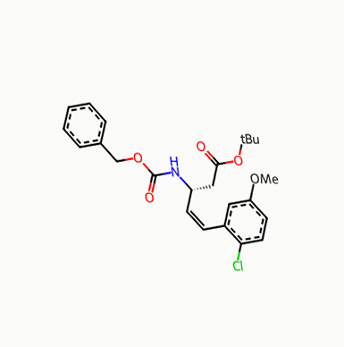 COc1ccc(Cl)c(/C=C\[C@@H](CC(=O)OC(C)(C)C)NC(=O)OCc2ccccc2)c1